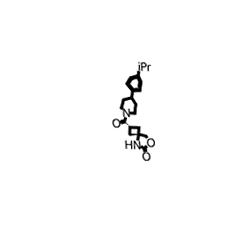 CC(C)c1ccc(C2CCN(C(=O)[C@H]3C[C@]4(COC(=O)N4)C3)CC2)cc1